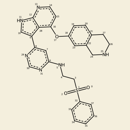 O=S(=O)(CCNc1cc(-c2c[nH]c3nccc(Oc4ccc5c(c4)CNCC5)c23)ncn1)c1ccccc1